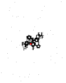 O=C(NC(Cc1ccccc1)(c1cc(F)cc(OC(F)(F)C(F)F)c1)c1ccc(F)c(C2CCCC2)c1)c1ccc(F)c(C(F)(F)F)c1